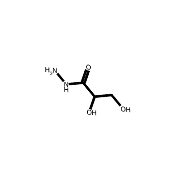 NNC(=O)C(O)CO